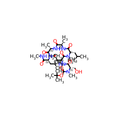 CNC(=O)[C@H](CC(C)C)N(C)C(=O)[C@H](C)NC(=O)[C@@H](C)NC(=O)[C@H](CC(C)C)N(C)C(=O)[C@@H](NC(=O)[C@H](CO)N(C)C(=O)OC(C)(C)C)C(C)C